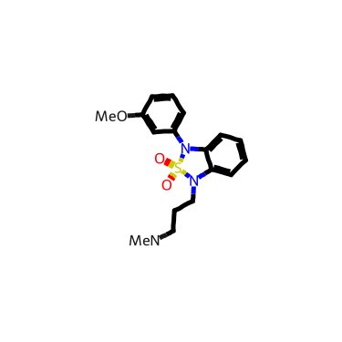 CNCCCN1c2ccccc2N(c2cccc(OC)c2)S1(=O)=O